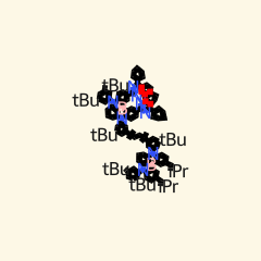 CC(C)Cc1ccc2c(c1)B1c3cc(CC(C)C)ccc3N(c3cc(C(C)(C)C)cc(C(C)(C)CCC(C)(C)c4cc(N5c6ccc(-c7nc(-c8ccccc8)cc(-c8ccccc8)n7)cc6B6c7cc(-c8nc(-c9ccccc9)cc(-c9ccccc9)n8)ccc7N(c7cc(C(C)(C)C)cc(C(C)(C)C)c7)c7cccc5c76)cc(C(C)(C)C)c4)c3)c3cccc(c31)N2c1cc(C(C)(C)C)cc(C(C)(C)C)c1